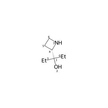 CCC(O)(CC)[C@@H]1CCN1